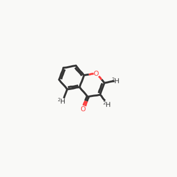 [2H]c1oc2cccc([2H])c2c(=O)c1[2H]